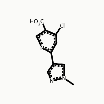 Cn1cc(-c2cc(Cl)c(C(=O)O)cn2)cn1